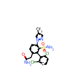 NC(=O)Cc1ccc(-n2cc(C(F)(F)F)cn2)c(S(N)(=O)=O)c1-c1c(Cl)cccc1Cl